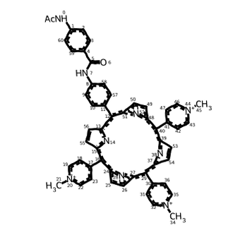 CC(=O)Nc1ccc(C(=O)Nc2ccc(-c3c4nc(c(-c5cc[n+](C)cc5)c5ccc([nH]5)c(-c5cc[n+](C)cc5)c5nc(c(-c6cc[n+](C)cc6)c6ccc3[nH]6)C=C5)C=C4)cc2)cc1